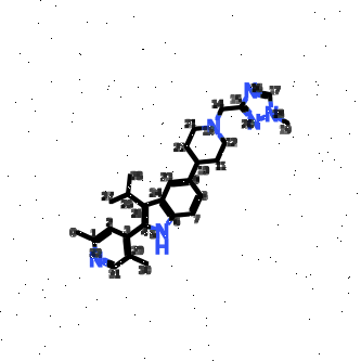 Cc1cc(-c2[nH]c3ccc(C4CCN(Cc5ncn(C)n5)CC4)cc3c2C(C)C)c(C)cn1